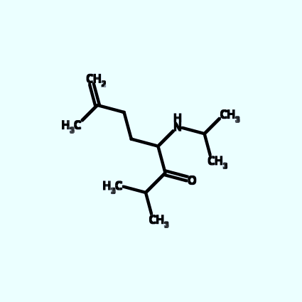 C=C(C)CCC(NC(C)C)C(=O)C(C)C